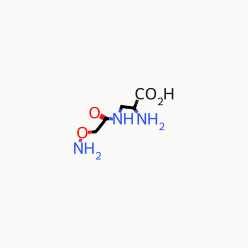 NOCC(=O)NCC(N)C(=O)O